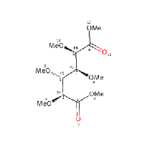 COC(=O)[C@@H](OC)[C@H](OC)[C@H](OC)[C@@H](OC)C(=O)OC